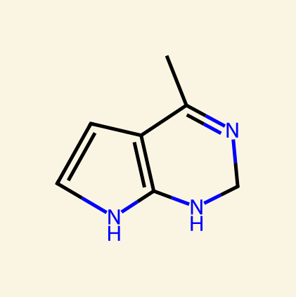 CC1=NCNc2[nH]ccc21